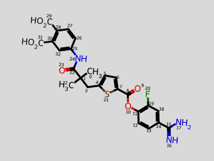 CC(C)(Cc1ccc(C(=O)Oc2ccc(C(=N)N)cc2F)s1)C(=O)Nc1ccc(C(=O)O)c(C(=O)O)c1